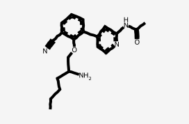 CCCCC(N)COc1c(C#N)cccc1-c1ccnc(NC(C)=O)c1